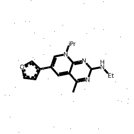 CCNC1N=C(C)C2=CC(c3ccoc3)=CN(C(C)C)C2=N1